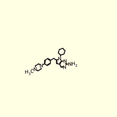 CN1CCN(c2ccc(Cc3cc4cnc(N)nc4n3C3CCCCC3)cc2)CC1